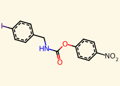 O=C(NCc1ccc(I)cc1)Oc1ccc([N+](=O)[O-])cc1